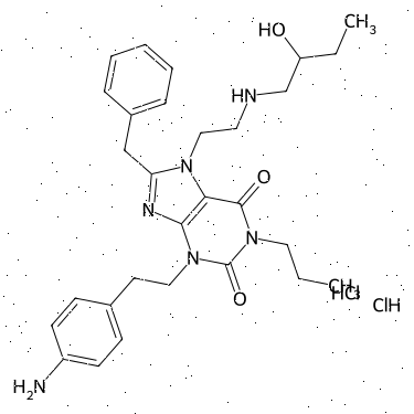 CCCn1c(=O)c2c(nc(Cc3ccccc3)n2CCNCC(O)CC)n(CCc2ccc(N)cc2)c1=O.Cl.Cl